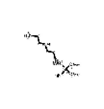 CCC[Si](OC)(OC)OC.NCCNCCN